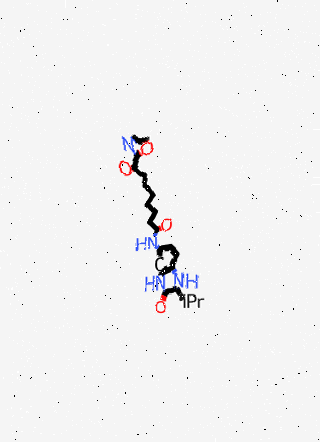 CC(C)C1Nc2ccc(NC(=O)CCCCCCC(=O)c3ncco3)cc2NC1=O